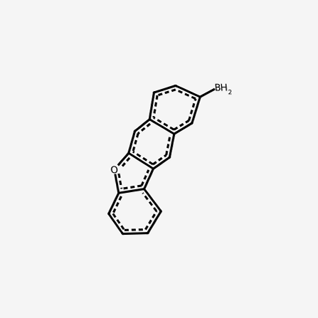 Bc1ccc2cc3oc4ccccc4c3cc2c1